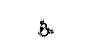 C[C@@H]1[C@@H](C)CCC[C@](O)(CN2CCO[C@@H](C)C2)C2CC[C@H]2CN2CCCCc3cc(Cl)ccc3COc3ccc(cc32)C(=O)NS1(=O)=O